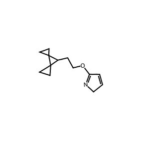 C1=CC(OCCC2C3(CC3)C23CC3)=NC1